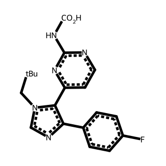 CC(C)(C)Cn1cnc(-c2ccc(F)cc2)c1-c1ccnc(NC(=O)O)n1